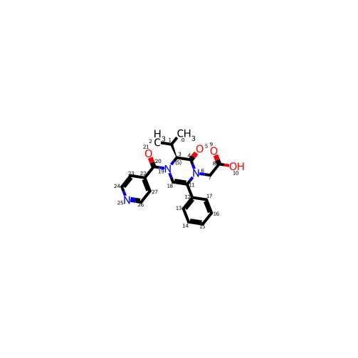 CC(C)[C@H]1C(=O)N(CC(=O)O)C(c2ccccc2)=CN1C(=O)c1ccncc1